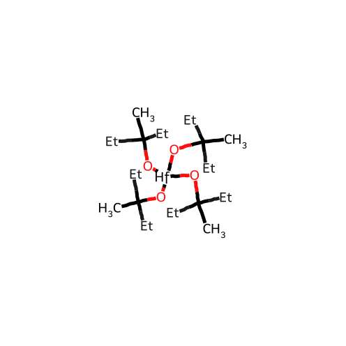 CCC(C)(CC)[O][Hf]([O]C(C)(CC)CC)([O]C(C)(CC)CC)[O]C(C)(CC)CC